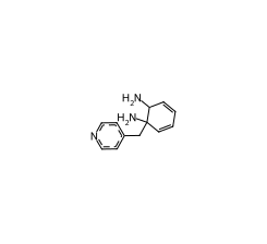 NC1C=CC=CC1(N)Cc1ccncc1